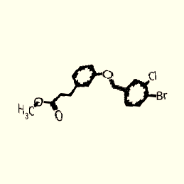 COC(=O)CCc1cccc(OCc2ccc(Br)c(Cl)c2)c1